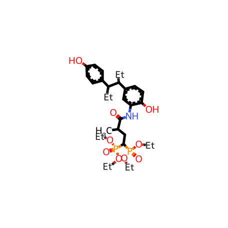 CCOP(=O)(OCC)C(CC(C)C(=O)Nc1cc(C(CC)C(CC)c2ccc(O)cc2)ccc1O)P(=O)(OCC)OCC